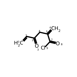 C=CC(=O)CC(=C)C(=O)Cl